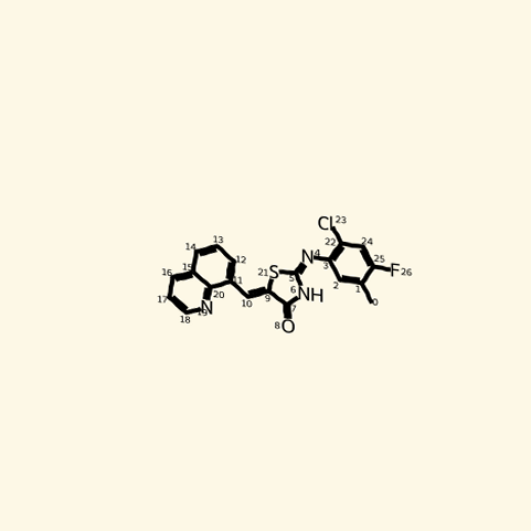 Cc1cc(N=C2NC(=O)C(=Cc3cccc4cccnc34)S2)c(Cl)cc1F